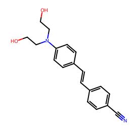 N#Cc1ccc(C=Cc2ccc(N(CCO)CCO)cc2)cc1